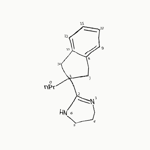 CCCC1(C2=NCCN2)Cc2ccccc2C1